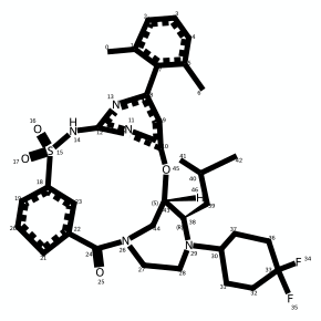 Cc1cccc(C)c1-c1cc2nc(n1)NS(=O)(=O)c1cccc(c1)C(=O)N1CCN(C3CCC(F)(F)CC3)[C@H](CC(C)C)[C@H](C1)O2